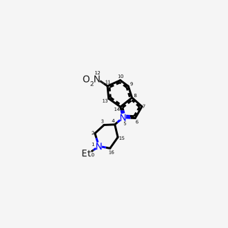 CCN1CCC(n2ccc3ccc([N+](=O)[O-])cc32)CC1